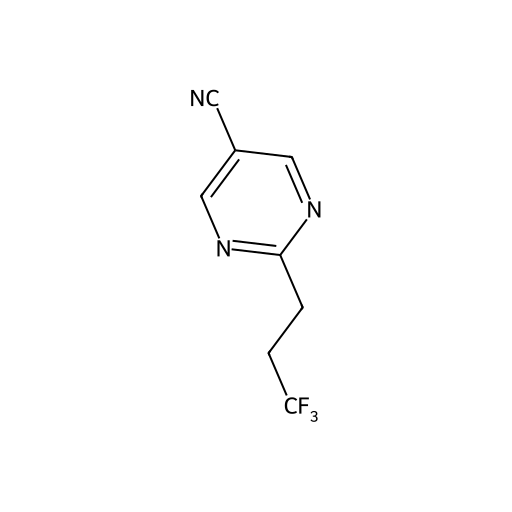 N#Cc1cnc(CCC(F)(F)F)nc1